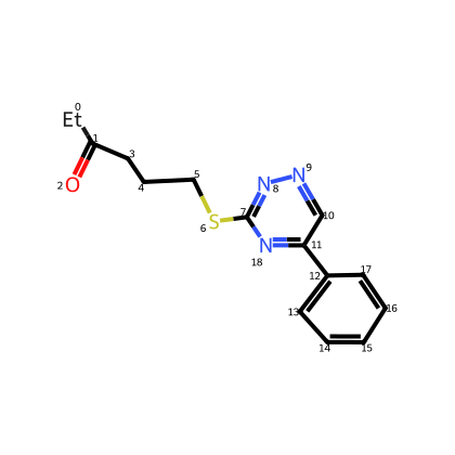 CCC(=O)CCCSc1nncc(-c2ccccc2)n1